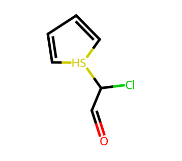 O=CC(Cl)[SH]1C=CC=C1